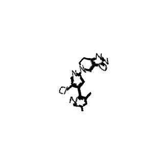 Cc1cnc(-c2cc(N3CCc4nnoc4C3)ncc2Cl)c(C)c1